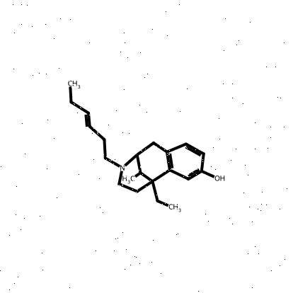 CCC=CCCN1CCC2(CC)c3cc(O)ccc3CC1C2C